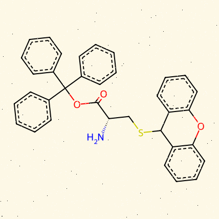 N[C@@H](CSC1c2ccccc2Oc2ccccc21)C(=O)OC(c1ccccc1)(c1ccccc1)c1ccccc1